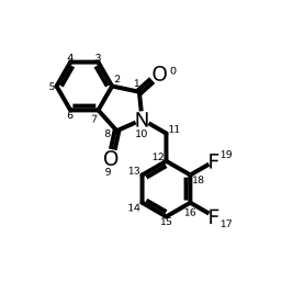 O=C1c2ccccc2C(=O)N1Cc1cccc(F)c1F